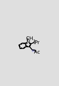 CC(=O)/C=C/c1c(C(C)C)n(C)c2ccccc12